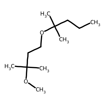 CCCC(C)(C)OCCC(C)(C)OC